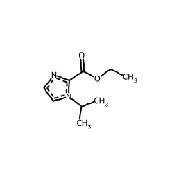 CCOC(=O)c1nccn1C(C)C